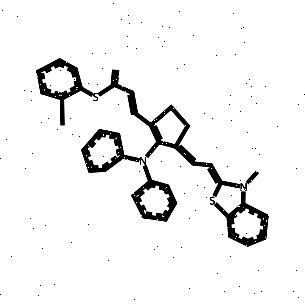 C=C(/C=C/C1=C(N(c2ccccc2)c2ccccc2)C(=C/C=C2\Sc3ccccc3N2C)/CC1)Sc1ccccc1C